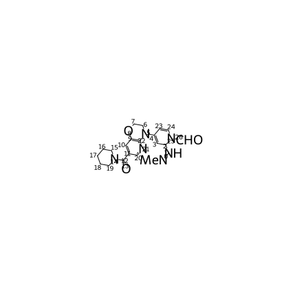 CNNC1C=C(N2CCOc3cc(C(=O)N4CCCCC4)cnc32)C=CN1C=O